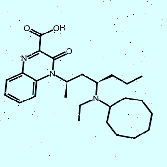 CCC[C@H](C[C@@H](C)n1c(=O)c(C(=O)O)nc2ccccc21)N(CC)C1CCCCCCC1